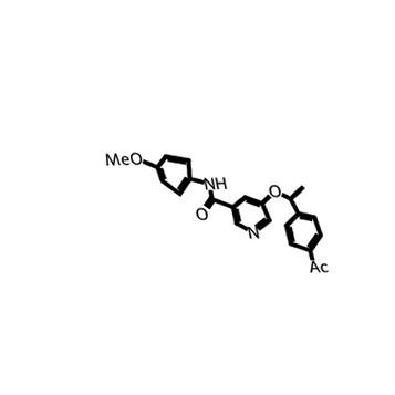 COc1ccc(NC(=O)c2cncc(OC(C)c3ccc(C(C)=O)cc3)c2)cc1